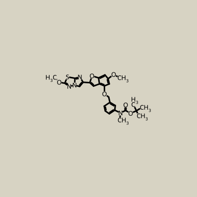 COc1cc(OCc2cccc(N(C)C(=O)OC(C)(C)C)c2)c2cc(-c3cn4nc(OC)sc4n3)oc2c1